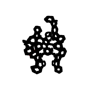 N#Cc1c(-n2c3ccccc3c3cc4sc5ccccc5c4cc32)c(-c2ccccc2)c(-c2nc(-n3c4ccccc4c4c5ccccc5oc43)cc(-n3c4ccccc4c4c5ccccc5oc43)n2)c(-c2ccccc2)c1-n1c2ccccc2c2cc3sc4ccccc4c3cc21